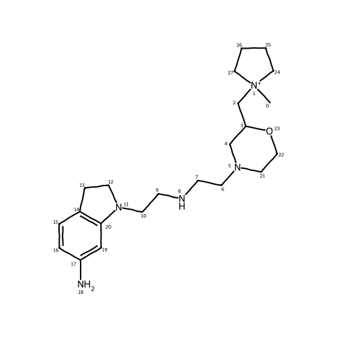 C[N+]1(CC2CN(CCNCCN3CCc4ccc(N)cc43)CCO2)CCCC1